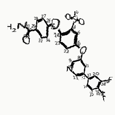 CS(=O)(=O)c1cc(Oc2cncc(-c3ccc(F)c(F)c3)c2)ccc1Oc1ccc(C(N)=O)cc1